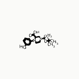 CC(C)(C)OC(=O)N1CCN(c2cccc(O)c2)C(C(=O)O)C1